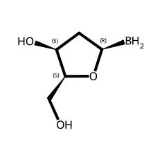 B[C@@H]1C[C@H](O)[C@H](CO)O1